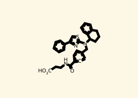 O=C(O)CCNC(=O)c1ccc(CN(c2nc(-c3ccccc3)cs2)C2CCCc3ccccc32)cc1